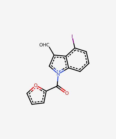 O=Cc1cn(C(=O)c2ccco2)c2cccc(I)c12